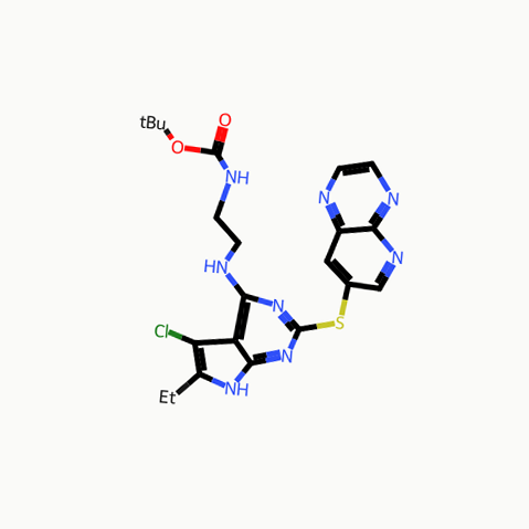 CCc1[nH]c2nc(Sc3cnc4nccnc4c3)nc(NCCNC(=O)OC(C)(C)C)c2c1Cl